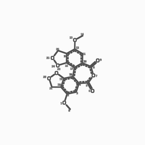 COc1cc2c(=O)oc(=O)c3cc(OC)c4c(c3c2c2c1COO2)OOC4